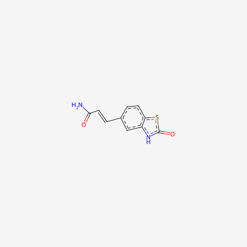 NC(=O)C=Cc1ccc2sc(=O)[nH]c2c1